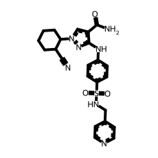 N#CC1CCCCC1n1cc(C(N)=O)c(Nc2ccc(S(=O)(=O)NCc3ccncc3)cc2)n1